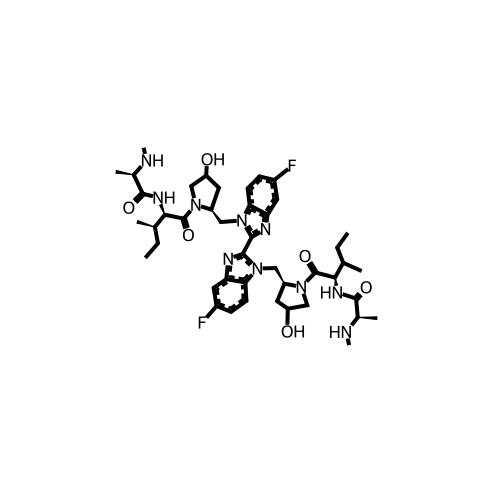 CCC(C)[C@@H](NC(=O)[C@@H](C)NC)C(=O)N1CC(O)C[C@H]1Cn1c(-c2nc3cc(F)ccc3n2C[C@@H]2CC(O)CN2C(=O)[C@H](NC(=O)[C@@H](C)NC)[C@H](C)CC)nc2cc(F)ccc21